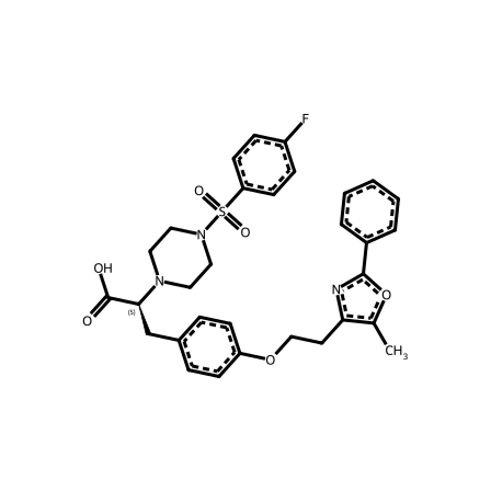 Cc1oc(-c2ccccc2)nc1CCOc1ccc(C[C@@H](C(=O)O)N2CCN(S(=O)(=O)c3ccc(F)cc3)CC2)cc1